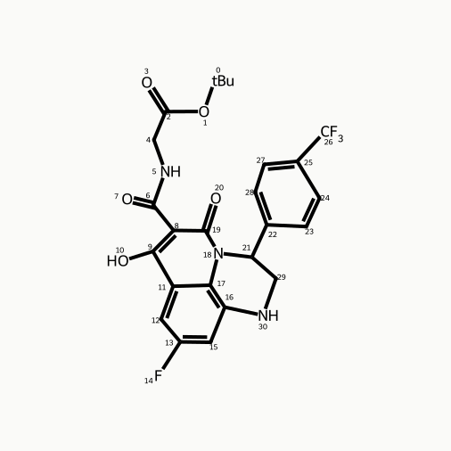 CC(C)(C)OC(=O)CNC(=O)c1c(O)c2cc(F)cc3c2n(c1=O)C(c1ccc(C(F)(F)F)cc1)CN3